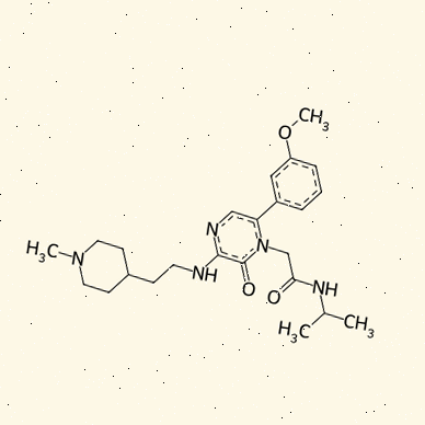 COc1cccc(-c2cnc(NCCC3CCN(C)CC3)c(=O)n2CC(=O)NC(C)C)c1